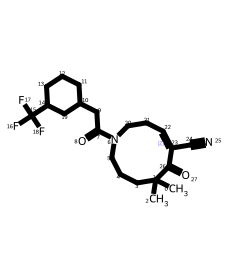 CC1(C)CCCN(C(=O)CC2CCCC(C(F)(F)F)C2)CC/C=C(/C#N)C1=O